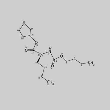 CCCCOC(=O)N[C@@H](CCSC)C(=O)OC1CCCC1